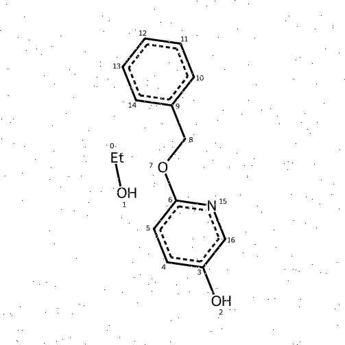 CCO.Oc1ccc(OCc2ccccc2)nc1